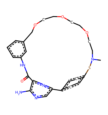 CN1CCOCCOCCOCc2cccc(c2)NC(=O)c2nc(cnc2N)-c2ccc(cc2)S1